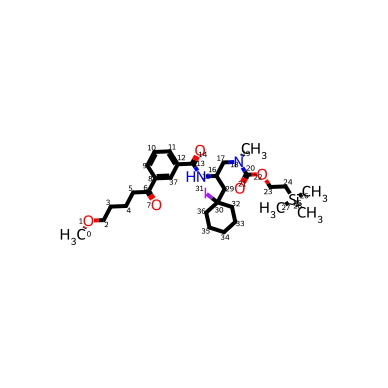 COCCCCC(=O)c1cccc(C(=O)NC(CN(C)C(=O)OCC[Si](C)(C)C)CC2(I)CCCCC2)c1